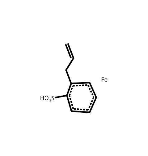 C=CCc1ccccc1S(=O)(=O)O.[Fe]